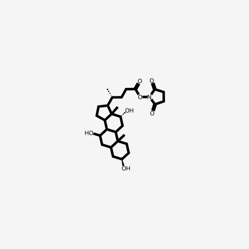 C[C@H](CCC(=O)ON1C(=O)CCC1=O)C1CCC2C3C(O)CC4C[C@H](O)CCC4(C)C3C[C@@H](O)C21C